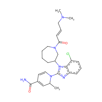 CC1C=C(C(N)=O)C=CN1c1nc2cccc(Cl)c2n1C1CCCCN(C(=O)C=CCN(C)C)C1